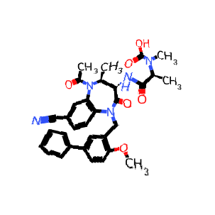 COc1ccc(-c2ccccc2)cc1CN1C(=O)[C@@H](NC(=O)[C@H](C)N(C)C(=O)O)[C@H](C)N(C(C)=O)c2cc(C#N)ccc21